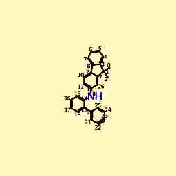 CC1(C)c2ccccc2-c2ccc(Nc3ccccc3-c3cc#ccc3)cc21